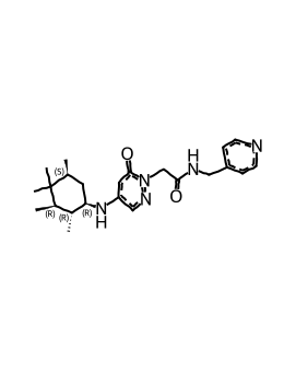 C[C@@H]1[C@@H](C)C(C)(C)[C@@H](C)C[C@H]1Nc1cnn(CC(=O)NCc2ccncc2)c(=O)c1